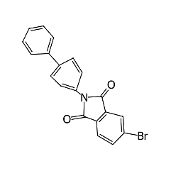 O=C1c2ccc(Br)cc2C(=O)N1c1ccc(-c2ccccc2)cc1